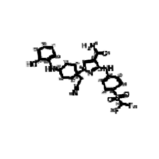 N#CCC1(n2cc(C(N)=O)c(Nc3ccc(S(=O)(=O)C(F)F)cc3)n2)CCC(Nc2ccccc2O)CC1